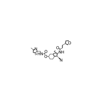 Cc1csc(CNC(=O)OC2CCc3c(sc(NC(=O)C=Cc4ccoc4)c3C#N)C2)n1